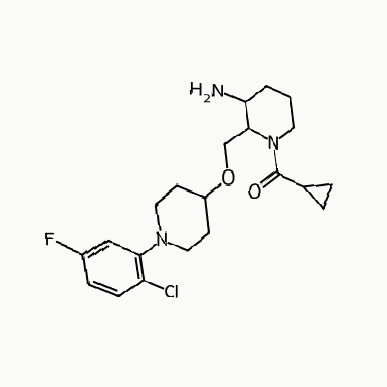 NC1CCCN(C(=O)C2CC2)C1COC1CCN(c2cc(F)ccc2Cl)CC1